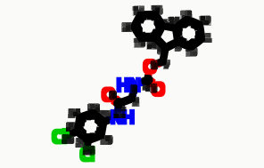 O=C(CNC(=O)OCC1c2ccccc2-c2ccccc21)Nc1ccc(Cl)c(Cl)c1